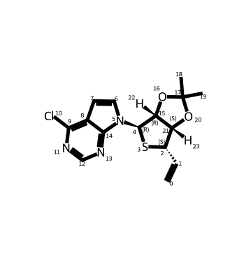 C=C[C@@H]1S[C@@H](n2ccc3c(Cl)ncnc32)[C@@H]2OC(C)(C)O[C@@H]21